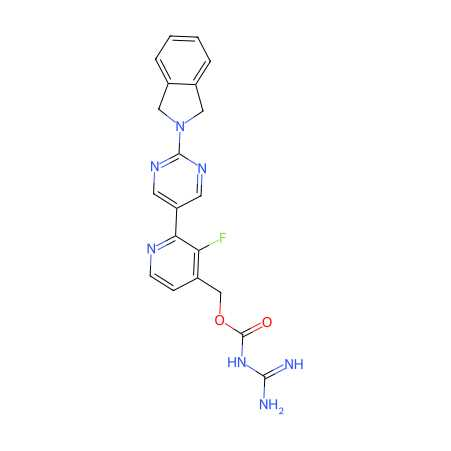 N=C(N)NC(=O)OCc1ccnc(-c2cnc(N3Cc4ccccc4C3)nc2)c1F